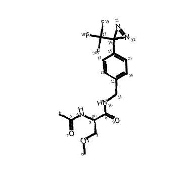 COC[C@@H](NC(C)=O)C(=O)NCc1ccc(C2(C(F)(F)F)N=N2)cc1